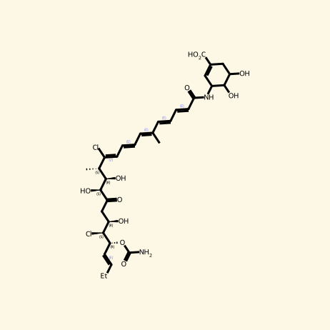 CC/C=C/[C@@H](OC(N)=O)[C@@H](Cl)[C@H](O)CC(=O)[C@@H](O)[C@H](O)[C@H](C)/C(Cl)=C/C=C/C=C(C)/C=C/C=C/C(=O)NC1C=C(C(=O)O)CC(O)C1O